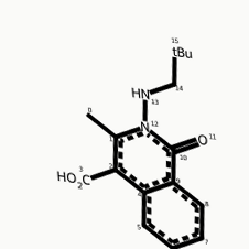 Cc1c(C(=O)O)c2ccccc2c(=O)n1NCC(C)(C)C